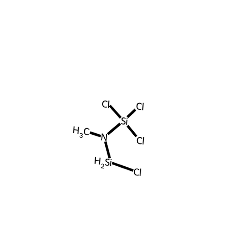 CN([SiH2]Cl)[Si](Cl)(Cl)Cl